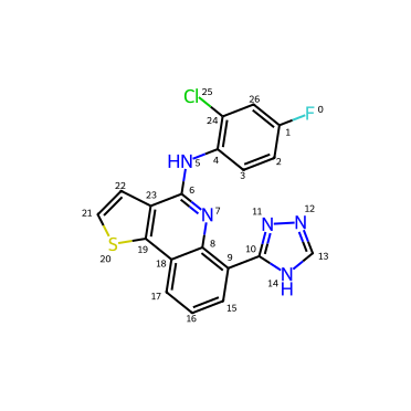 Fc1ccc(Nc2nc3c(-c4nnc[nH]4)cccc3c3sccc23)c(Cl)c1